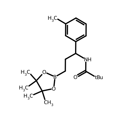 Cc1cccc(C(CCB2OC(C)(C)C(C)(C)O2)NC(=O)C(C)(C)C)c1